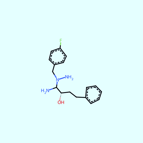 NC([C@@H](O)CCc1ccccc1)N(N)Cc1ccc(F)cc1